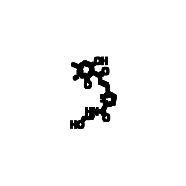 Cc1cc(O)c(C(=O)C=Cc2ccc(C(=O)NCCO)s2)c(=O)n1C